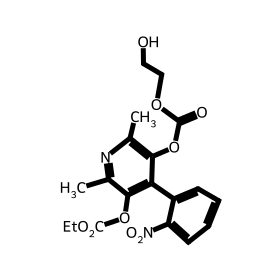 CCOC(=O)Oc1c(C)nc(C)c(OC(=O)OCCO)c1-c1ccccc1[N+](=O)[O-]